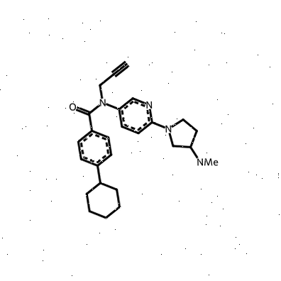 C#CCN(C(=O)c1ccc(C2CCCCC2)cc1)c1ccc(N2CCC(NC)C2)nc1